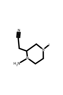 N#CCC1CN(I)CCN1N